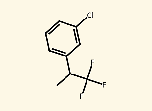 CC(c1cccc(Cl)c1)C(F)(F)F